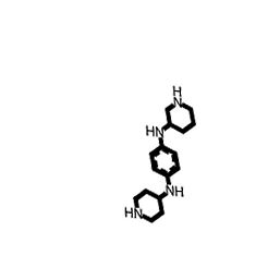 c1cc(NC2CCCNC2)ccc1NC1CCNCC1